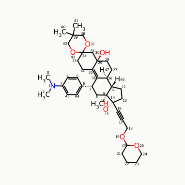 CN(C)c1ccc([C@H]2C[C@@]3(C)[C@@H](CC[C@@]3(O)C#CCOC3CCCCO3)[C@@H]3CC[C@@]4(O)CC5(CCC4=C32)OCC(C)(C)CO5)cc1